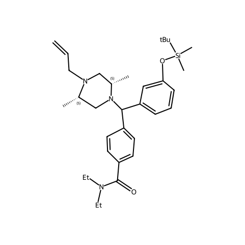 C=CCN1C[C@H](C)N(C(c2ccc(C(=O)N(CC)CC)cc2)c2cccc(O[Si](C)(C)C(C)(C)C)c2)C[C@@H]1C